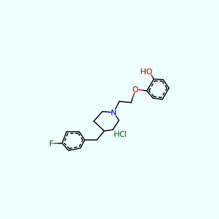 Cl.Oc1ccccc1OCCN1CCC(Cc2ccc(F)cc2)CC1